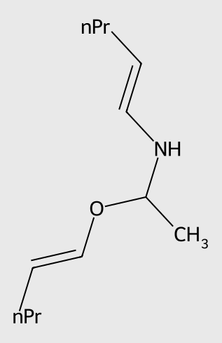 CCCC=CNC(C)OC=CCCC